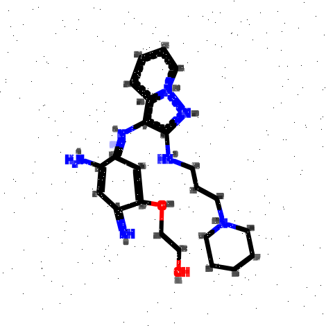 N=C1C=C(N)/C(=N/c2c(NCCCN3CCCCC3)nn3ccccc23)C=C1OCCO